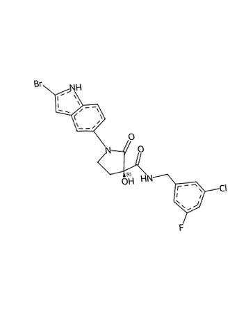 O=C(NCc1cc(F)cc(Cl)c1)[C@]1(O)CCN(c2ccc3[nH]c(Br)cc3c2)C1=O